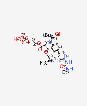 CCNC(=O)Nc1cc(-c2nc(C(F)(F)F)cs2)c(-c2ccc3c(c2)c(=O)c(C(=O)OCCCOP(=O)(O)O)cn3[C@H](CO)C(C)(C)C)cn1